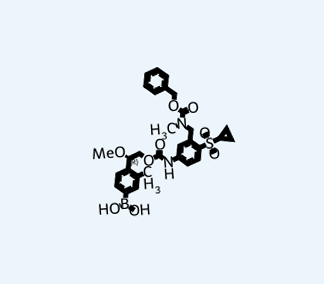 CO[C@@H](COC(=O)Nc1ccc(S(=O)(=O)C2CC2)c(CN(C)C(=O)OCc2ccccc2)c1)c1ccc(B(O)O)cc1C